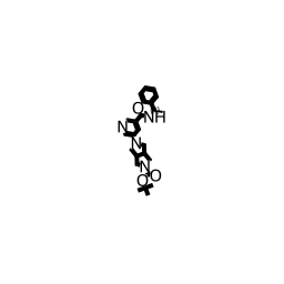 C[C@@H](NC(=O)c1cncc(N2CC3CN(C(=O)OC(C)(C)C)CC3C2)c1)c1ccccc1